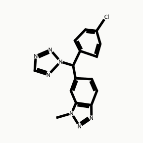 Cn1nnc2ccc(C(c3ccc(Cl)cc3)n3ncnn3)cc21